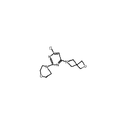 Clc1cc(N2CC3(COC3)C2)nc(N2CCOCC2)n1